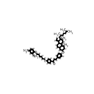 CC(C)CCC[C@@H](C)[C@H]1CCC2C3CCC4CC(Oc5ccc(C=CC(=O)c6ccc(OCCCCCCOc7ccc(N)cc7N)cc6)cc5)CC[C@]4(C)C3CC[C@@]21C